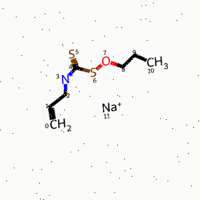 C=CC[N-]C(=S)SOCCC.[Na+]